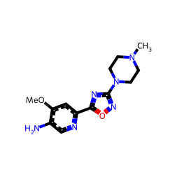 COc1cc(-c2nc(N3CCN(C)CC3)no2)ncc1N